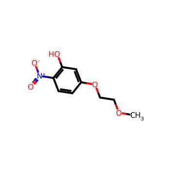 COCCOc1ccc([N+](=O)[O-])c(O)c1